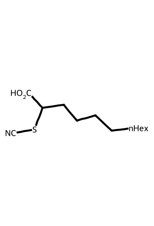 CCCCCCCCCCC(SC#N)C(=O)O